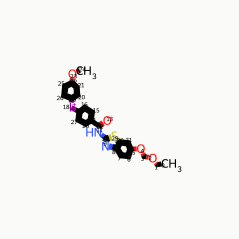 CCOCOc1ccc2nc(NC(=O)c3ccc([I+]c4ccc(OC)cc4)cc3)sc2c1